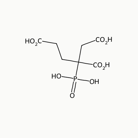 O=C(O)CCC(CC(=O)O)(C(=O)O)P(=O)(O)O